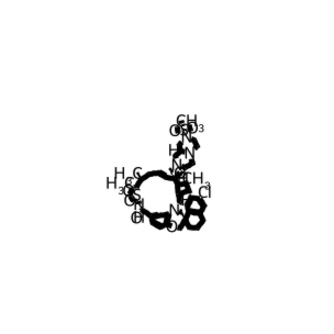 CO[C@]1(CN2CCN3CCN(S(C)(=O)=O)C[C@@H]3C2)/C=C/C[C@H](C)[C@@H](C)S(=O)(=O)NC(=O)c2ccc3c(c2)N(C[C@@H]2CC[C@H]21)C[C@@]1(CCCc2cc(Cl)ccc21)CO3